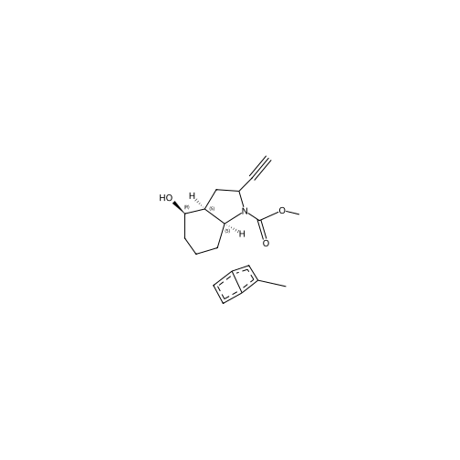 C#CC1C[C@@H]2[C@H](O)CCC[C@@H]2N1C(=O)OC.Cc1cc2ccc1-2